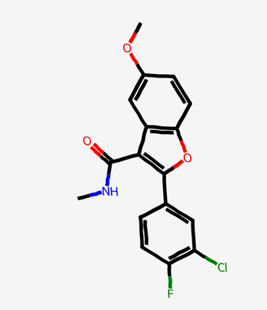 CNC(=O)c1c(-c2ccc(F)c(Cl)c2)oc2ccc(OC)cc12